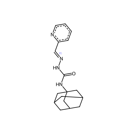 O=C(N/N=C/c1ccccn1)NC12CC3CC(CC(C3)C1)C2